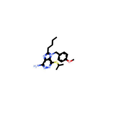 CCCCc1nc2c(N)nnc(SC(C)C)c2n1Cc1ccc(OC)cc1